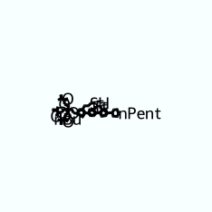 C=C(C)C(=O)OCC(COC(=O)C(=C)C)(COC(=O)C(=C)C)COc1cc(CCCS)c(-c2ccc(-c3ccc(C4CCC(CCCCC)CC4)cc3F)c(CC)c2)cc1CCCC